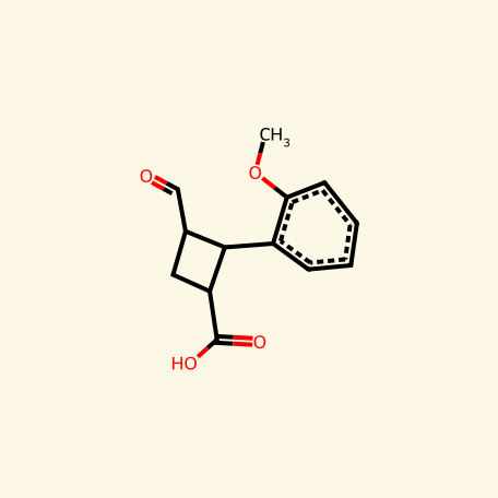 COc1ccccc1C1C(C=O)CC1C(=O)O